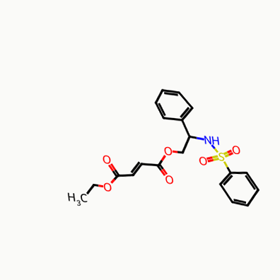 CCOC(=O)/C=C/C(=O)OCC(NS(=O)(=O)c1ccccc1)c1ccccc1